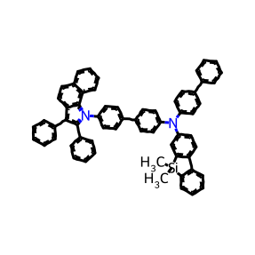 C[Si]1(C)c2ccccc2-c2ccc(N(c3ccc(-c4ccccc4)cc3)c3ccc(-c4ccc(-n5c(-c6ccccc6)c(-c6ccccc6)c6ccc7ccccc7c65)cc4)cc3)cc21